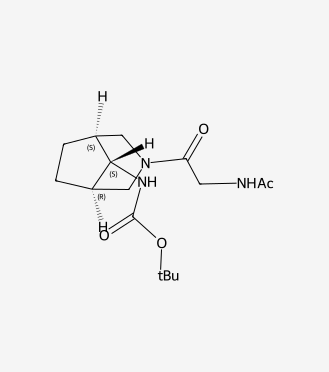 CC(=O)NCC(=O)N1C[C@H]2CC[C@@H](C1)[C@@H]2NC(=O)OC(C)(C)C